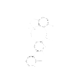 Cc1ncccc1-c1cc2c(nc1Cl)N(C(=O)O)Cc1c(F)ccc3c1[C@@H](CO2)CO3